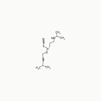 CC(C)C#CCO[C@@H](CCCNC(C)C)SC#N